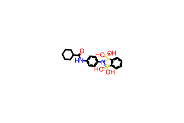 O=C(Nc1ccc(N2S(O)(O)c3ccccc3S2(O)O)cc1)C1CCCCC1